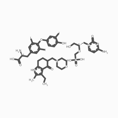 CCc1c(C)[nH]c2c1C(=O)C(CN1CCOCC1)CC2.N[C@@H](Cc1cc(I)c(Oc2ccc(O)c(I)c2)c(I)c1)C(=O)O.Nc1ccn(C[C@@H](CO)OCP(=O)(O)O)c(=O)n1